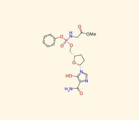 COC(=O)CNP(=O)(OC[C@@H]1CC[C@H](n2cnc(C(N)=O)c2O)O1)Oc1ccccc1